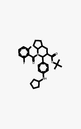 Cc1cccc(F)c1C(=O)N1C2CCCC2CC(C(=O)OC(C)(C)C)C1c1ccc(NC2CCCC2)cc1